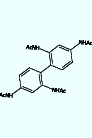 CC(=O)Nc1ccc(-c2ccc(NC(C)=O)cc2NC(C)=O)c(NC(C)=O)c1